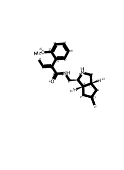 CC=C(C(=O)NC[C@H]1NC[C@@H]2CC(C)C[C@@H]21)c1ccccc1OC